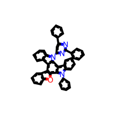 c1ccc(-c2cc(-n3c4ccccc4c4c5c6ccccc6oc5c5c(c6ccccc6n5-c5ccccc5)c43)nc(-c3ccccc3)n2)cc1